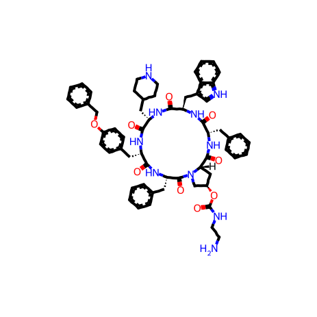 NCCNC(=O)O[C@@H]1C[C@H]2C(=O)N[C@@H](Cc3ccccc3)C(=O)N[C@H](Cc3c[nH]c4ccccc34)C(=O)N[C@@H](CC3CCNCC3)C(=O)N[C@@H](Cc3ccc(OCc4ccccc4)cc3)C(=O)N[C@@H](Cc3ccccc3)C(=O)N2C1